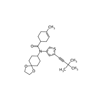 CC1=CCC(C(=O)N(c2csc(C#CC(C)(C)C)c2)C2CCC3(CC2)OCCO3)CC1